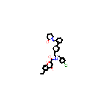 CCc1ccc2oc(C(=O)N[C@H](C=C3CCC(c4ccccc4CN4CCCCC4=O)CC3)Cc3ccc(Cl)cc3)cc(=O)c2c1